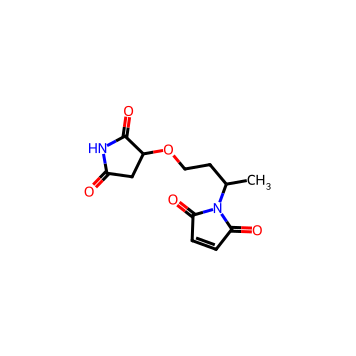 CC(CCOC1CC(=O)NC1=O)N1C(=O)C=CC1=O